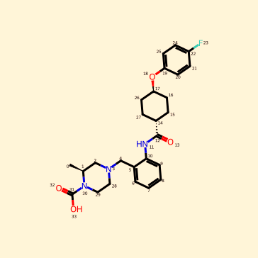 C[C@H]1CN(Cc2ccccc2NC(=O)[C@H]2CC[C@H](Oc3ccc(F)cc3)CC2)CCN1C(=O)O